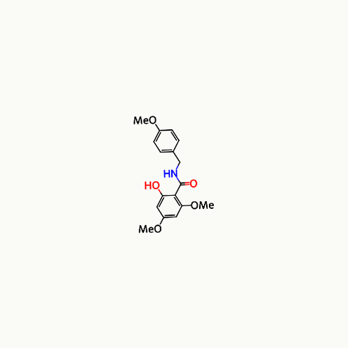 COc1ccc(CNC(=O)c2c(O)cc(OC)cc2OC)cc1